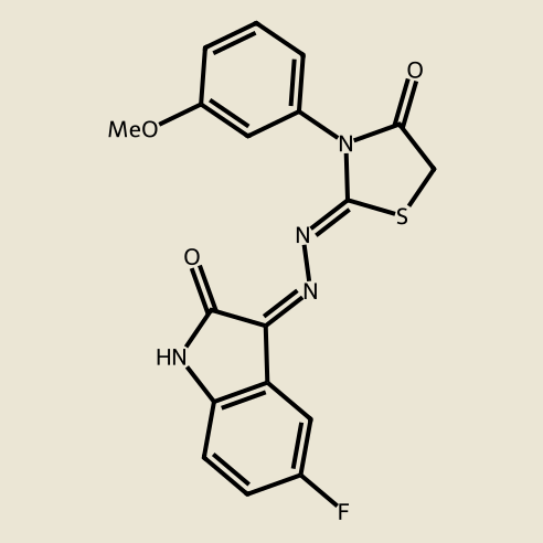 COc1cccc(N2C(=O)CSC2=NN=C2C(=O)Nc3ccc(F)cc32)c1